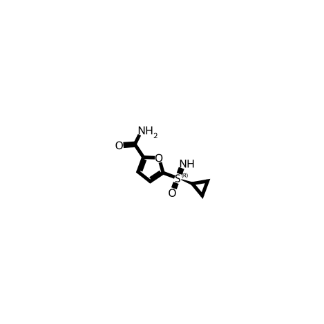 N=[S@](=O)(c1ccc(C(N)=O)o1)C1CC1